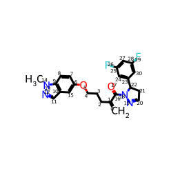 C=C(CCCOc1ccc2c(cnn2C)c1)C(=O)N1N=CCC1c1cc(F)cc(F)c1